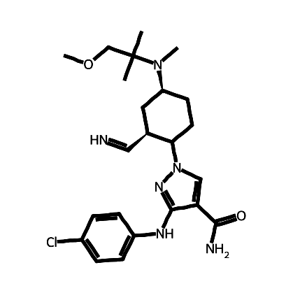 COCC(C)(C)N(C)[C@H]1CCC(n2cc(C(N)=O)c(Nc3ccc(Cl)cc3)n2)[C@@H](C=N)C1